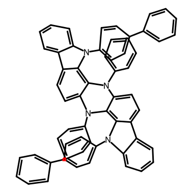 c1ccc(-c2ccc(-n3c4ccccc4c4ccc5c(c43)N(c3ccccc3)c3ccc4c6ccccc6n(-c6ccc(-c7ccccc7)cc6)c4c3N5c3ccccc3)cc2)cc1